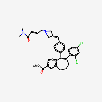 COC(=O)c1ccc2c(c1)CCCC(c1ccc(Cl)cc1Cl)=C2c1ccc(C=C2CN(CC=CC(=O)N(C)C)C2)cc1